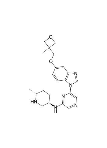 C[C@@H]1CC[C@@H](Nc2cncc(-n3cnc4cc(OCC5(C)COC5)ccc43)n2)CN1